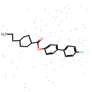 CCCC1CCC(C(=O)Oc2ccc(-c3ccc(F)cc3)cc2)CC1